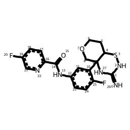 N=C1NSC2CCOCC2(c2cc(NC(=O)c3ccc(F)cn3)ccc2F)N1